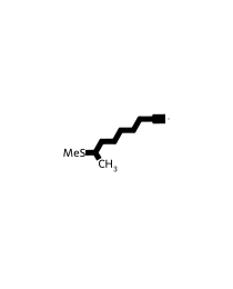 [C]#CCCCCCC(C)SC